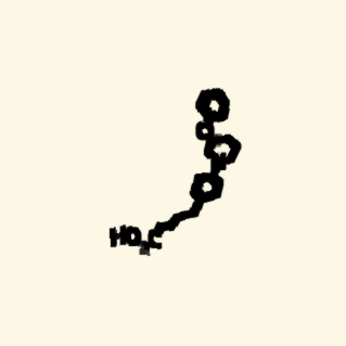 O=C(O)CCCCc1ccc(N2CCC[C@@H](Oc3ccccc3)C2)cc1